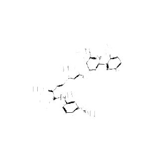 C=C(/C=C/C/C=C(\C)OC1C=C(c2ccccc2C)N=C(N)C1)C(=C)Nc1cccc(SO)c1